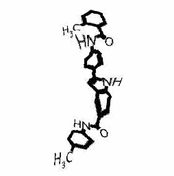 CC1CCC(NC(=O)c2ccc3[nH]c(-c4ccc(NC(=O)C5CCCCC5C)cc4)cc3c2)CC1